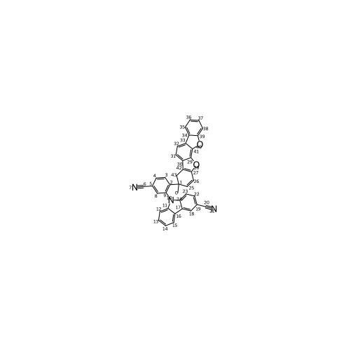 CC1(c2ccc(C#N)cc2-n2c3ccccc3c3cc(C#N)ccc32)C=Cc2oc3c(ccc4c5ccccc5oc43)c2C1